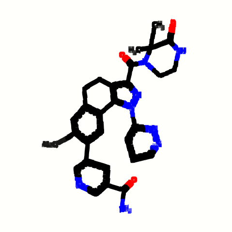 COc1cc2c(cc1-c1cncc(C(N)=O)c1)-c1c(c(C(=O)N3CCNC(=O)C3(C)C)nn1-c1cccnn1)CC2